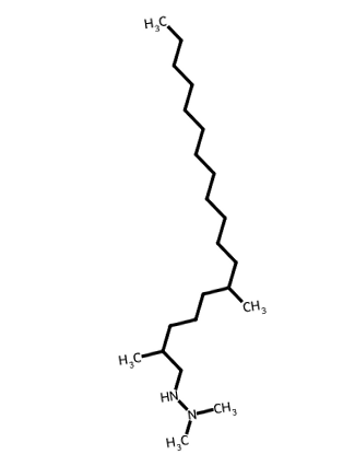 CCCCCCCCCCCCC(C)CCCC(C)CNN(C)C